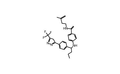 C=C(C)CCNC(=C)c1ccc(NC(CCC)c2ccc(C3=NN=C(C(F)(F)F)C3)cc2)cc1